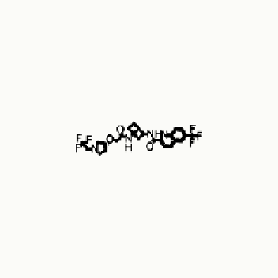 O=C(CO[C@@H]1CCN(CC(F)(F)F)C1)NC12CCC1C(NC(=O)c1ccc3cc(C(F)(F)F)ccc3n1)C2